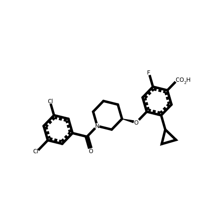 O=C(O)c1cc(C2CC2)c(O[C@@H]2CCCN(C(=O)c3cc(Cl)cc(Cl)c3)C2)cc1F